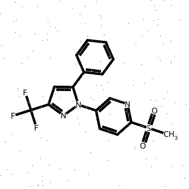 CS(=O)(=O)c1ccc(-n2nc(C(F)(F)F)cc2-c2ccccc2)cn1